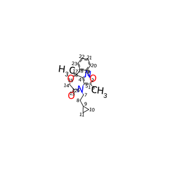 Cc1onc2c1N(CCC1CC1)C(=O)COC2(C)c1ccccc1